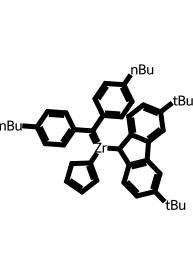 CCCCc1ccc([C](c2ccc(CCCC)cc2)=[Zr]([C]2=CC=CC2)[CH]2c3ccc(C(C)(C)C)cc3-c3cc(C(C)(C)C)ccc32)cc1